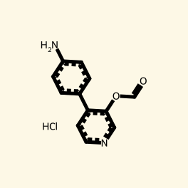 Cl.Nc1ccc(-c2ccncc2OC=O)cc1